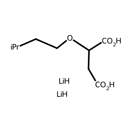 CC(C)CCOC(CC(=O)O)C(=O)O.[LiH].[LiH]